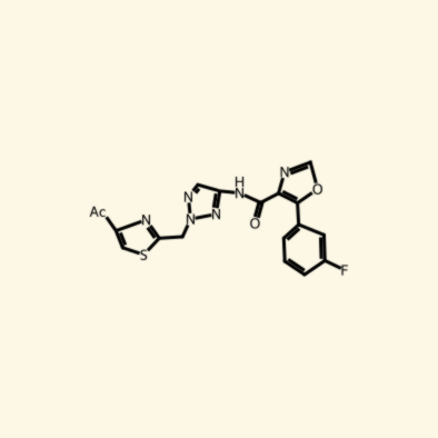 CC(=O)c1csc(Cn2ncc(NC(=O)c3ncoc3-c3cccc(F)c3)n2)n1